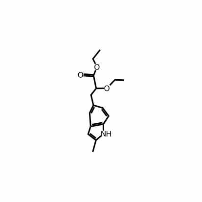 CCOC(=O)C(Cc1ccc2[nH]c(C)cc2c1)OCC